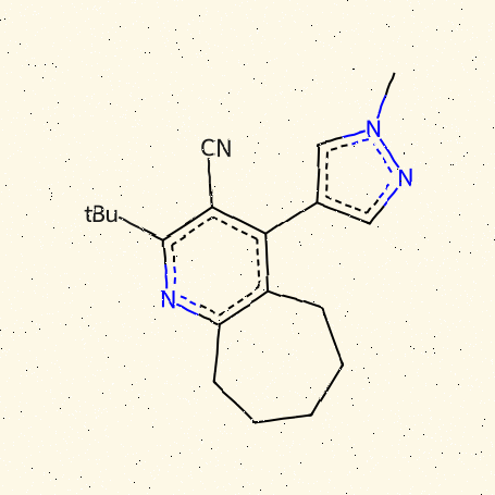 Cn1cc(-c2c(C#N)c(C(C)(C)C)nc3c2CCCCC3)cn1